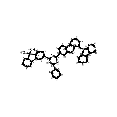 CC1(C)c2ccccc2-c2cc(-c3nc(-c4ccccc4)nc(-c4ccc5c(c4)oc4c(-n6c7ccccc7c7cccnc76)cccc45)n3)ccc21